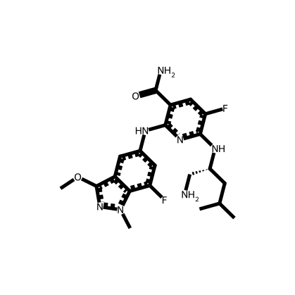 COc1nn(C)c2c(F)cc(Nc3nc(N[C@@H](CN)CC(C)C)c(F)cc3C(N)=O)cc12